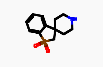 O=S1(=O)CC2(CCNCC2)c2ccccc21